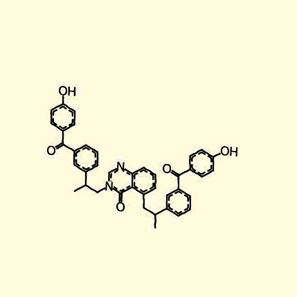 CC(Cc1cccc2ncn(CC(C)c3cccc(C(=O)c4ccc(O)cc4)c3)c(=O)c12)c1cccc(C(=O)c2ccc(O)cc2)c1